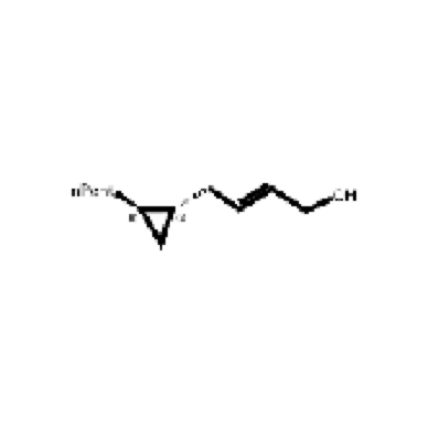 CCCCC[C@@H]1C[C@H]1CC=CCO